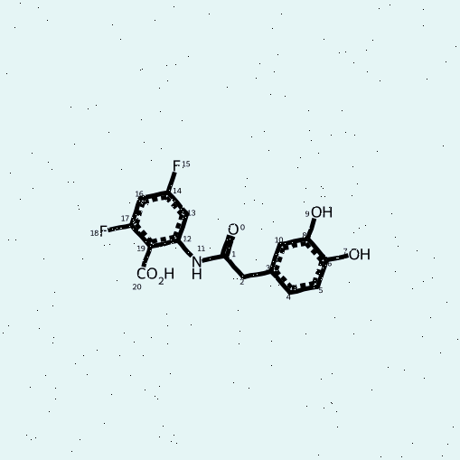 O=C(Cc1ccc(O)c(O)c1)Nc1cc(F)cc(F)c1C(=O)O